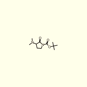 CN(C)C1CCN(C(=O)OC(C)(C)C)C1=O